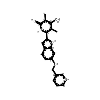 Cc1c(-c2cc3ccc(OCc4cccnc4)cc3o2)oc(=O)c(C)c1O